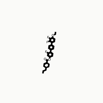 CCCC1CC=C(C(=O)Oc2ccc(-c3ccc(-c4ccc(OCC)c(F)c4F)cc3)c(F)c2)CC1